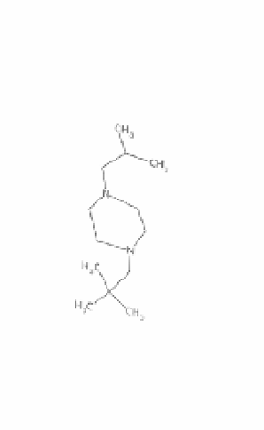 CC(C)CN1CCN(CC(C)(C)C)CC1